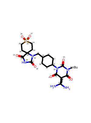 CCCCN1C(=O)C(=C(N)N)C(=O)N(C2CCC(CN3C(=O)NC(=O)C34CCS(=O)(=O)CC4)CC2)C1=O